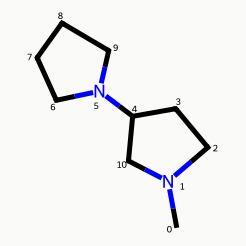 CN1CCC(N2CCCC2)C1